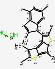 CC1=Cc2c(C)cc(C)cc2C1C1=C(C)SC2[C]([Zr])=c3sc(C)c([SiH](C)C)c3=C12.Cl.Cl